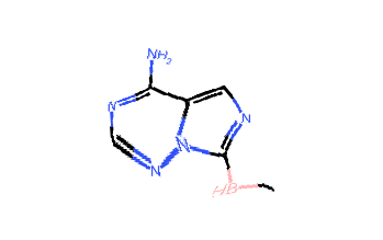 CBc1ncc2c(N)ncnn12